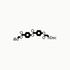 CCCCCCCCCCCC(=O)Oc1ccc(C(=O)Oc2ccc(C(=O)OCC(C)CC)cc2)cc1